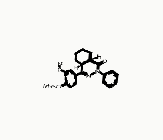 CCOc1cc(C2=NN(c3ccccc3)C(=O)[C@H]3CC=CC[C@@H]23)ccc1OC